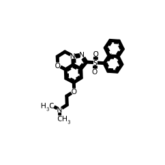 CN(C)CCOc1cc2c3c(c1)c(S(=O)(=O)c1cccc4ccccc14)nn3CCO2